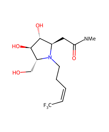 CNC(=O)C[C@@H]1[C@@H](O)[C@H](O)[C@@H](CO)N1CC/C=C\C(F)(F)F